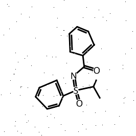 CC(C)S(=O)(=NC(=O)c1ccccc1)c1ccccc1